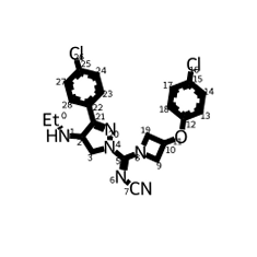 CCNC1CN(/C(=N/C#N)N2CC(Oc3ccc(Cl)cc3)C2)N=C1c1ccc(Cl)cc1